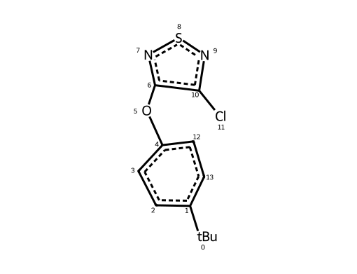 CC(C)(C)c1ccc(Oc2nsnc2Cl)cc1